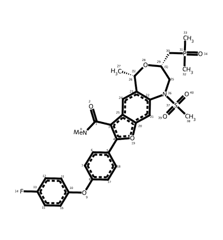 CNC(=O)c1c(-c2ccc(Oc3ccc(F)cc3)cc2)oc2cc3c(cc12)[C@H](C)O[C@H](CP(C)(C)=O)CN3S(C)(=O)=O